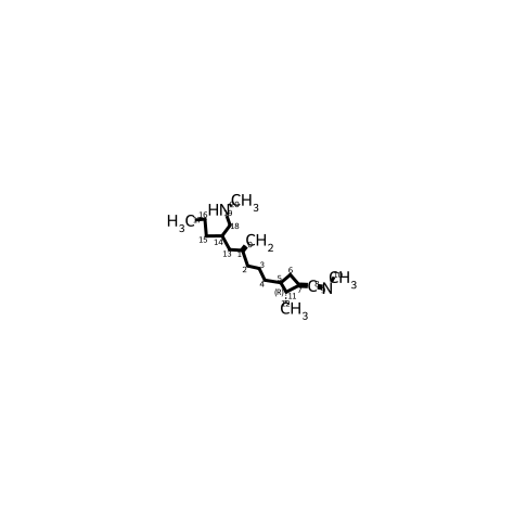 C=C(CCCC1CC(=C=NC)[C@@H]1C)CC(CCC)CNC